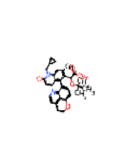 Cc1cc2c(ccc(=O)n2CC2CC2)c(-c2ccc3c4c(ccnc24)CCO3)c1C(OC(C)(C)C)C(=O)O